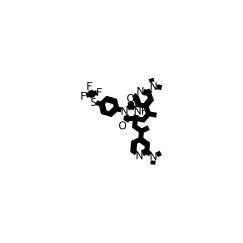 CC(CC1(CC(C)c2ccnc(N(C)C)c2)NC(=O)N(c2ccc(SC(F)(F)F)cc2)C1=O)c1ccnc(N(C)C)c1